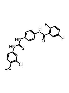 CSc1ccc(NC(=S)Nc2ccc(NC(=O)c3cc(F)ccc3F)cc2)cc1Cl